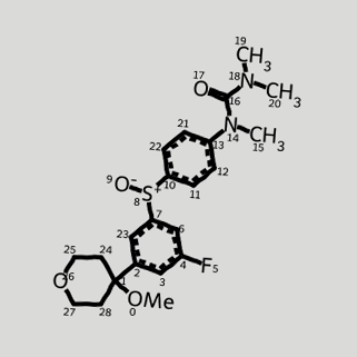 COC1(c2cc(F)cc([S+]([O-])c3ccc(N(C)C(=O)N(C)C)cc3)c2)CCOCC1